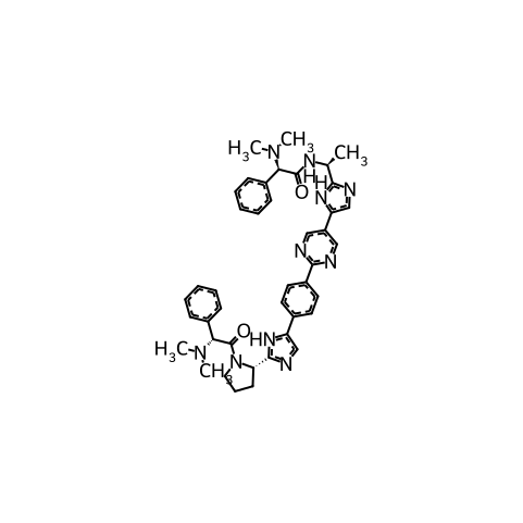 C[C@H](NC(=O)[C@@H](c1ccccc1)N(C)C)c1ncc(-c2cnc(-c3ccc(-c4cnc([C@@H]5CCCN5C(=O)[C@@H](c5ccccc5)N(C)C)[nH]4)cc3)nc2)[nH]1